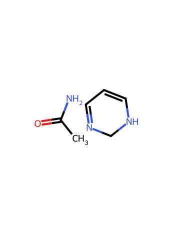 C1=CNCN=C1.CC(N)=O